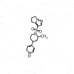 CC1CC(C2=CCNC=C2)CCN1S(=O)(=O)c1cnn2c1CCC2